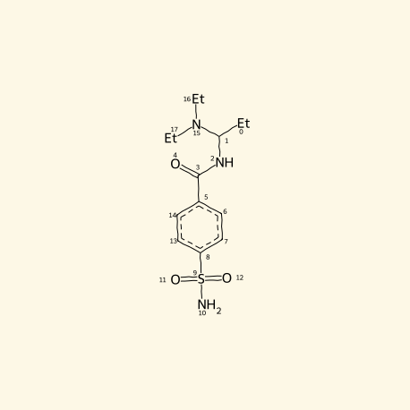 CCC(NC(=O)c1ccc(S(N)(=O)=O)cc1)N(CC)CC